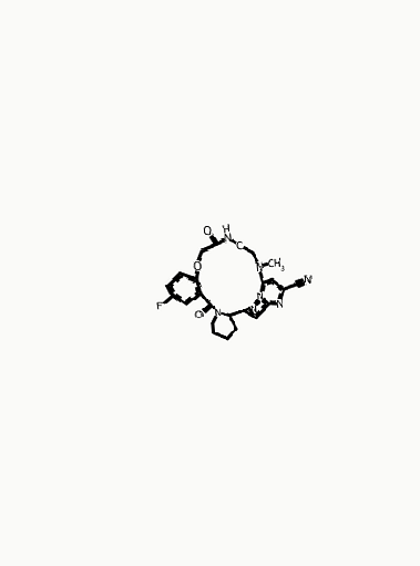 CN1CCNC(=O)COc2ccc(F)cc2C(=O)N2CCCCC2c2cc3nc(C#N)cc1n3n2